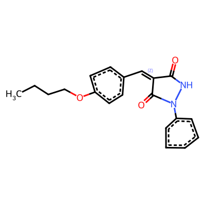 CCCCOc1ccc(/C=C2/C(=O)NN(c3ccccc3)C2=O)cc1